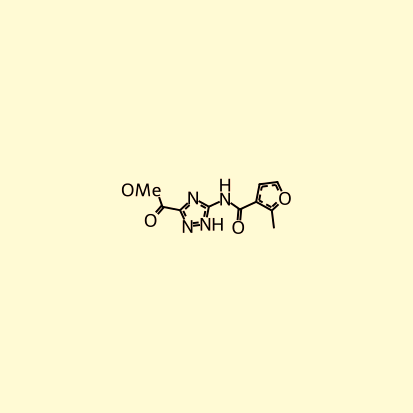 COC(=O)c1n[nH]c(NC(=O)c2ccoc2C)n1